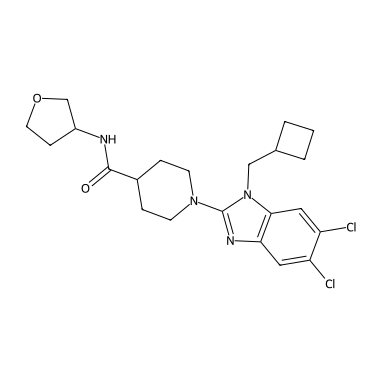 O=C(NC1CCOC1)C1CCN(c2nc3cc(Cl)c(Cl)cc3n2CC2CCC2)CC1